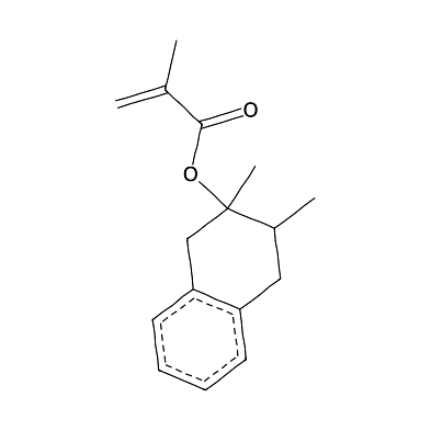 C=C(C)C(=O)OC1(C)Cc2ccccc2CC1C